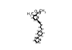 COC(=O)c1nc(C#CCCCN2CCN(c3ncccn3)CC2)ccc1C